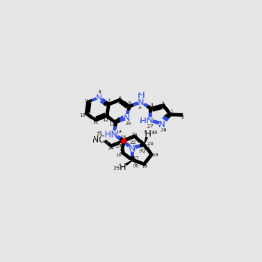 Cc1cc(Nc2cc3ncccc3c(NC3C[C@H]4CC[C@@H](C3)N4CCC#N)n2)[nH]n1